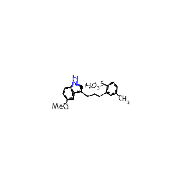 COc1ccc2[nH]cc(CCCc3cc(C)ccc3S(=O)(=O)O)c2c1